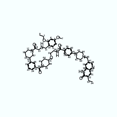 CCOc1cc(OC)ccc1CNCC(=O)N1CCCC(c2cccc(C(=O)N3CCC(OCCNC(=O)c4ccc(N5CCN(Cc6cnc7cc(CC)c(=O)[nH]c7c6)CC5)cn4)CC3)c2)C1